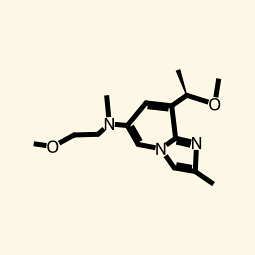 COCCN(C)c1cc([C@@H](C)OC)c2nc(C)cn2c1